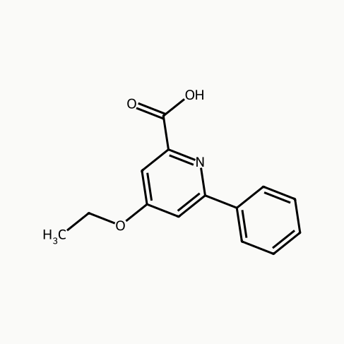 CCOc1cc(C(=O)O)nc(-c2ccccc2)c1